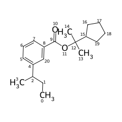 CCC(C)c1cccc(C(=O)OC(C)(C)C2CCCC2)c1